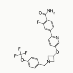 NC(=O)c1ccc(-c2ccc(OC3CN(Cc4ccc(OC(F)(F)F)cc4)C3)cn2)cc1F